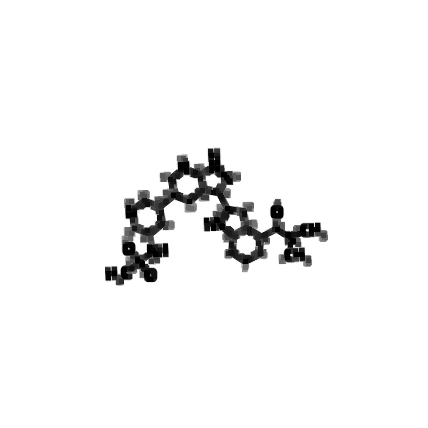 CN(C)C(=O)c1cccc2[nH]c(-c3n[nH]c4ncc(-c5cncc(NS(C)(=O)=O)c5)cc34)cc12